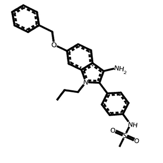 CCCn1c(-c2ccc(NS(C)(=O)=O)cc2)c(N)c2ccc(OCc3ccccc3)cc21